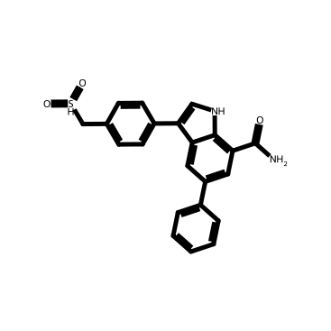 NC(=O)c1cc(-c2ccccc2)cc2c(-c3ccc(C[SH](=O)=O)cc3)c[nH]c12